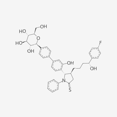 OC[C@H]1O[C@@H](c2ccc(-c3ccc([C@@H]4[C@@H](CCC[C@@H](O)c5ccc(F)cc5)CC(=S)N4c4ccccc4)c(O)c3)cc2)[C@H](O)[C@@H](O)[C@@H]1O